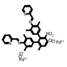 Cc1cc(-c2c(C)ccc([N+](=O)[O-])c2-c2cc(C)c(/N=C/c3ccccn3)c(C)c2)cc(C)c1/N=C/c1ccccn1.[Cl-].[Cl-].[Cl-].[Cl-].[Pd+2].[Pd+2]